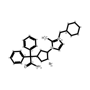 Cc1n(C2CCC(C(C(N)=O)(c3ccccc3)c3ccccc3)C2)cc[n+]1CC1CCCCC1.[Br-]